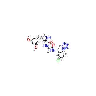 COc1cc(C[C@@H]2CN[C@@H](C(=O)N[C@@H](C)C(=O)NCc3cc(Cl)ccc3-n3cnnn3)C2)cc(OC)c1